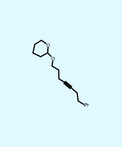 CC(C)CCC#CCCCOC1CCCCO1